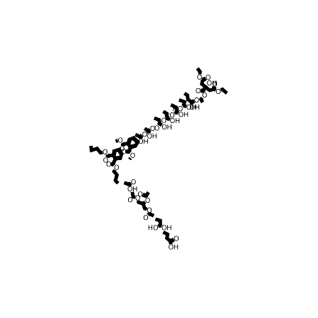 CC(=O)O.CC(=O)O.CC(=O)O.CC(=O)OCC(COC(C)=O)OC(C)=O.CCC(=O)O.CCC(=O)O.CCC(O)O.CCC(O)O.CCC(O)O.CCCC(=O)O.CCCC(=O)O.CCCCOC(=O)c1ccccc1C(=O)OCCCC.CCOC(=O)CC(O)(CC(=O)OCC)C(=O)OCC.COC(=O)c1ccccc1C(=O)OC